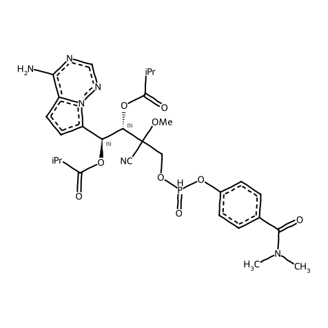 COC(C#N)(CO[PH](=O)Oc1ccc(C(=O)N(C)C)cc1)[C@@H](OC(=O)C(C)C)[C@@H](OC(=O)C(C)C)c1ccc2c(N)ncnn12